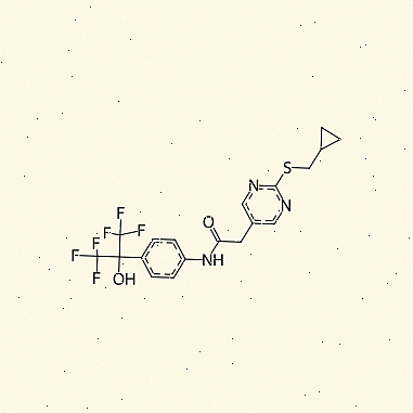 O=C(Cc1cnc(SCC2CC2)nc1)Nc1ccc(C(O)(C(F)(F)F)C(F)(F)F)cc1